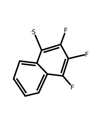 Fc1c(F)c([S])c2ccccc2c1F